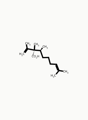 C=C(C)[C@](C)(C(=O)O)[C@@H](C)CCCC=C(C)C